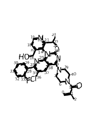 C=C(C)C(=O)N1CCN(c2nc(=O)n(-c3c(CO)ccnc3C(C)C)c3nc(-c4ccccc4F)c(Cl)cc23)CC1